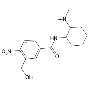 CN(C)C1CCCCC1NC(=O)c1ccc([N+](=O)[O-])c(CO)c1